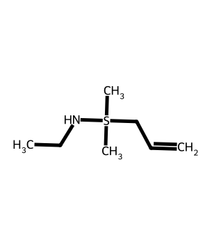 C=CCS(C)(C)NCC